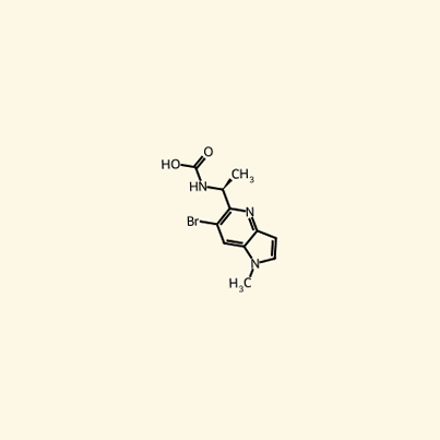 C[C@H](NC(=O)O)c1nc2ccn(C)c2cc1Br